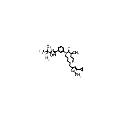 C=C(CCF)C(=O)N(CCCCCc1cc(C2CC2)n(C)n1)c1cccc(-c2noc(C(C)(C)C)n2)c1